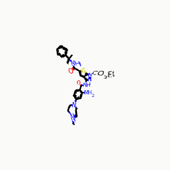 CCOC(=O)n1nc(NC(=O)c2ccc(N3CCN(C)CC3)cc2N)c2cc(C(=O)NC(C)(C)c3ccccc3)sc21